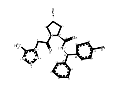 Cc1nnnn1CC(=O)N1C[C@H](F)C[C@H]1C(=O)N[C@@H](c1ccccc1)c1ccc(C(C)C)cc1